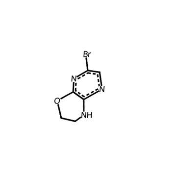 Brc1cnc2c(n1)OCCN2